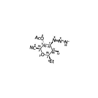 CC[C@H]1O[C@@H](C#N)[C@H](OC(C)=O)[C@@H](N=[N+]=[N-])[C@H]1C